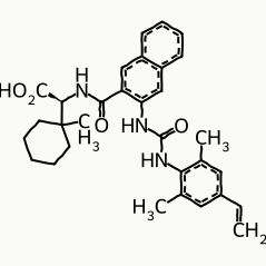 C=Cc1cc(C)c(NC(=O)Nc2cc3ccccc3cc2C(=O)N[C@H](C(=O)O)C2(C)CCCCC2)c(C)c1